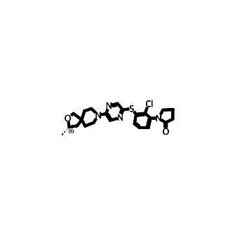 C[C@H]1CC2(CCN(c3cnc(Sc4cccc(N5CCCC5=O)c4Cl)cn3)CC2)CO1